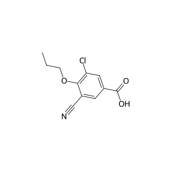 CCCOc1c(Cl)cc(C(=O)O)cc1C#N